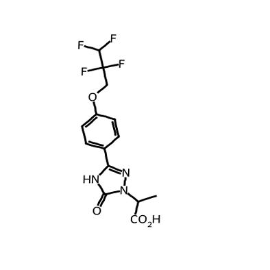 CC(C(=O)O)n1nc(-c2ccc(OCC(F)(F)C(F)F)cc2)[nH]c1=O